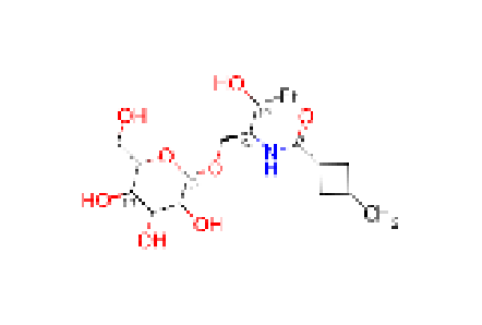 CC[C@@H](O)[C@H](CO[C@H]1OC(CO)[C@H](O)C(O)C1O)NC(=O)C1CC(C)C1